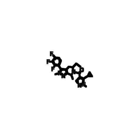 CCC1Cc2c(nn(C)c2-c2ccc(F)c(F)c2F)C(C)N1C(=O)c1cnn(C)c1C1CC1